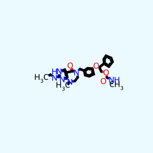 CCNc1ncc2c(n1)N(C)CCN(Cc1cccc(OC(COC(=O)NC)c3ccccc3)c1)C2=O